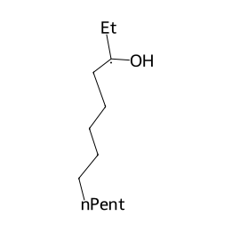 CCCCCCCCCC[C](O)CC